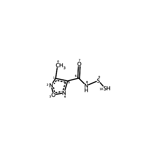 Cc1nonc1C(=O)NSS